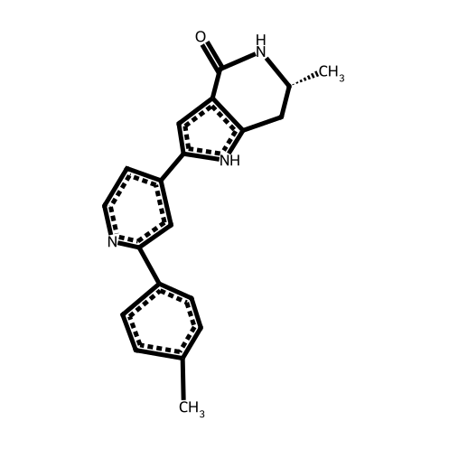 Cc1ccc(-c2cc(-c3cc4c([nH]3)C[C@@H](C)NC4=O)ccn2)cc1